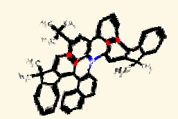 CC(C)(C)c1ccc(N(c2ccc3c(c2)C(C)(C)c2ccccc2-3)c2ccc3ccccc3c2-c2cccc3c2-c2ccccc2C3(C)C)c(-c2ccccc2)c1